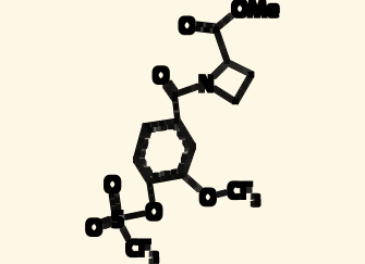 COC(=O)C1CCN1C(=O)c1ccc(OS(=O)(=O)C(F)(F)F)c(OC(F)(F)F)c1